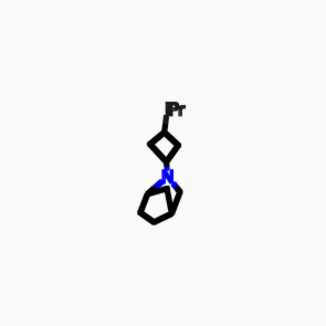 CC(C)C1CC(N2CC3CCC2C3)C1